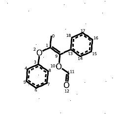 CC(Oc1ccccc1)=C(O[C]=O)c1ccccc1